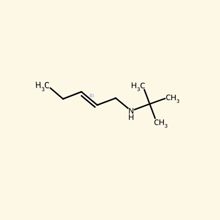 CC/C=C/CNC(C)(C)C